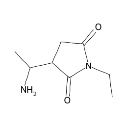 CCN1C(=O)CC(C(C)N)C1=O